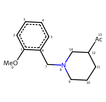 COc1ccccc1CN1CCCC(C(C)=O)C1